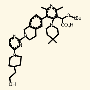 Cc1nc(C)c(C(OC(C)(C)C)C(=O)O)c(N2CCC(C)(C)CC2)c1-c1ccc2c(c1)CCN(c1nccc(N3CCC(CCO)CC3)n1)C2